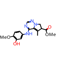 COC(=O)C1CN2N=CN=C(Nc3ccc(OC)c(O)c3)C2=C1C